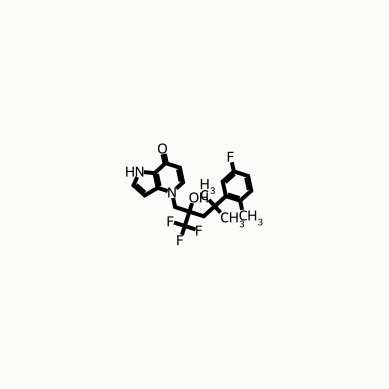 Cc1ccc(F)cc1C(C)(C)CC(O)(Cn1ccc(=O)c2[nH]ccc21)C(F)(F)F